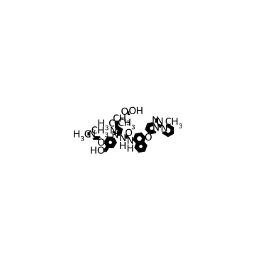 C[C@H]1CCCCN1c1nnc2ccc(O[C@@H]3CC[C@H](NC(=O)Nc4cc(C(C)(C)C)nn4-c4ccc(CO)c(OCCN(C)C)c4)c4ccccc43)cn12.O=CO